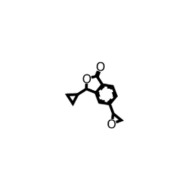 O=C1OC(C2CC2)c2cc(C3CO3)ccc21